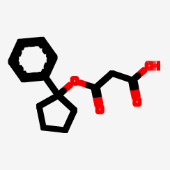 O=C(O)CC(=O)OC1(c2ccccc2)CCCC1